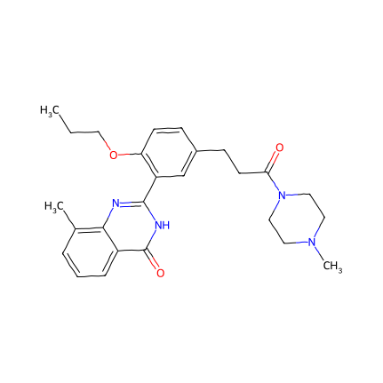 CCCOc1ccc(CCC(=O)N2CCN(C)CC2)cc1-c1nc2c(C)cccc2c(=O)[nH]1